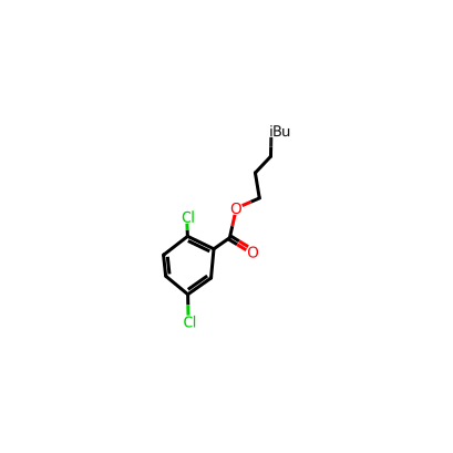 CCC(C)CCCOC(=O)c1cc(Cl)ccc1Cl